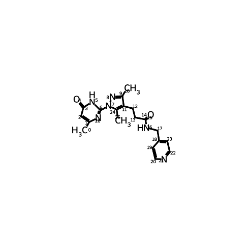 Cc1cc(=O)[nH]c(-n2nc(C)c(CCC(=O)NCc3ccncc3)c2C)n1